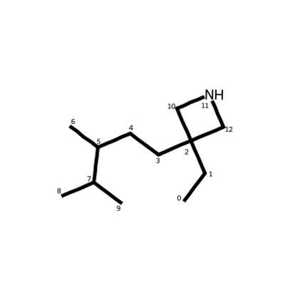 CCC1(CCC(C)C(C)C)CNC1